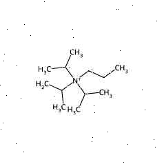 CCC[N+](C(C)C)(C(C)C)C(C)C